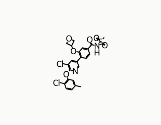 Cc1ccc(Cl)c(Oc2ncc(-c3ccc(C(=O)NS(C)(=O)=O)cc3OC3COC3)cc2Cl)c1